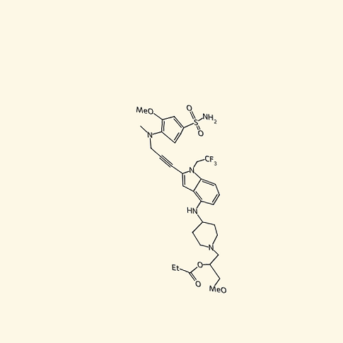 CCC(=O)OC(COC)CN1CCC(Nc2cccc3c2cc(C#CCN(C)c2ccc(S(N)(=O)=O)cc2OC)n3CC(F)(F)F)CC1